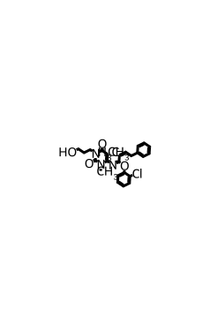 CC(=C/Cc1ccccc1)/C(=N\c1c(C)c(=O)n(CCCO)c(=O)n1C)Oc1ccccc1Cl